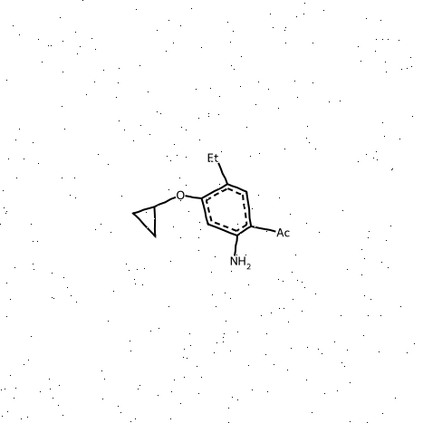 CCc1cc(C(C)=O)c(N)cc1OC1CC1